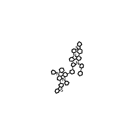 c1ccc(-c2cccc(N(c3cccc(-c4cccc(-c5ccc6c7c(N(c8ccccc8)c8ccccc8)ccc(-c8ccc9sc%10ccccc%10c9c8)c7n(-c7ccccc7)c6c5)c4)c3)c3ccc(-c4ccc5c(c4)sc4ccccc45)c4c3c3ccccc3n4-c3ccccc3)c2)cc1